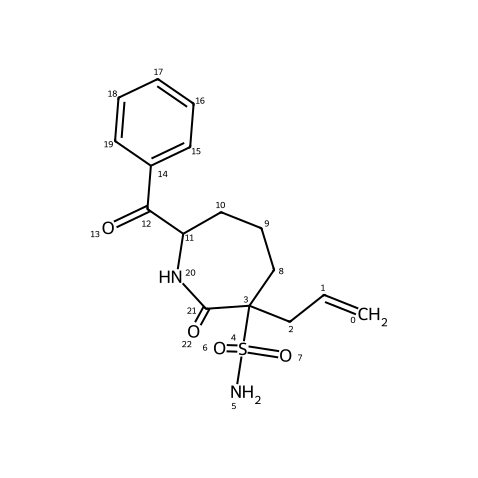 C=CCC1(S(N)(=O)=O)CCCC(C(=O)c2ccccc2)NC1=O